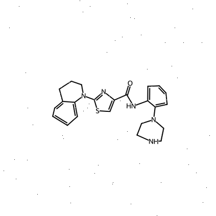 O=C(Nc1ccccc1N1CCNCC1)c1csc(N2CCCc3ccccc32)n1